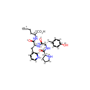 CC(C)(C)CC[C@H](NC(=O)[C@H](Cc1cccnc1)NC(=O)[C@H](Cc1ccc(O)cc1)NC(=O)[C@@H]1CCCN1)C(=O)O